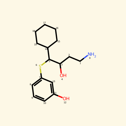 NCCC(O)C(Sc1cccc(O)c1)C1CCCCC1